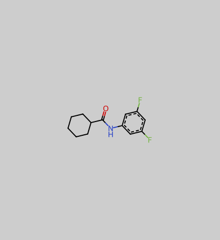 O=C(Nc1cc(F)cc(F)c1)C1CCCCC1